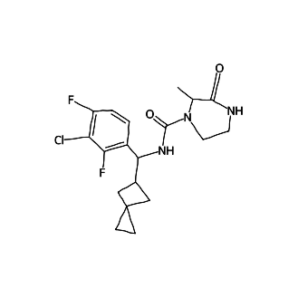 CC1C(=O)NCCN1C(=O)NC(c1ccc(F)c(Cl)c1F)C1CC2(CC2)C1